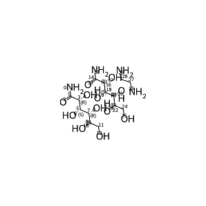 NC(=O)[C@H](O)[C@@H](O)[C@H](O)[C@H](O)CO.NC(=O)[C@H](O)[C@@H](O)[C@H](O)[C@H](O)CO.NCCN